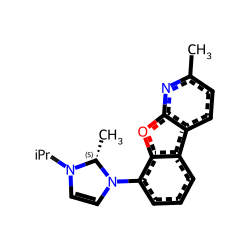 Cc1ccc2c(n1)oc1c(N3C=CN(C(C)C)[C@@H]3C)cccc12